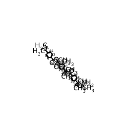 CCC(C)c1ccc(C(=O)OC(C)(CC)c2ccc(C(C)(CC)OC(=O)c3ccc(C(C)(CC)OC(C)N)cc3)cc2C)cc1